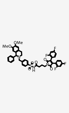 COc1cc2c(cc1OC)C(c1ccccc1)N(Cc1ccc(S(=O)(=O)NC(=O)CCCN3C(=O)C(c4ccc(F)cc4F)=C(c4ccc(F)cc4F)C3=O)cc1)CC2